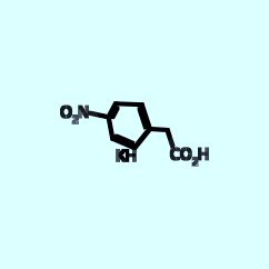 O=C(O)Cc1ccc([N+](=O)[O-])cc1.[KH]